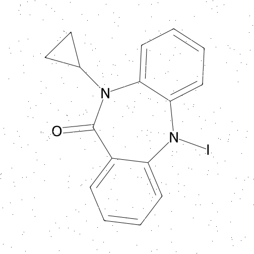 O=C1c2ccccc2N(I)c2ccccc2N1C1CC1